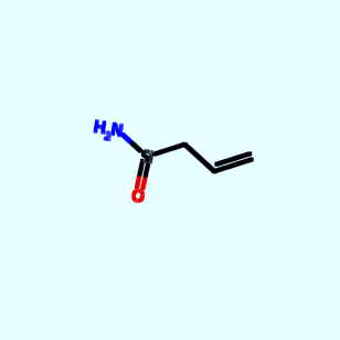 C=CC[Si](N)=O